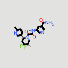 Cc1ccc([C@@H]2CC(F)(F)[C@@H](C)CN2C(=O)C(=O)Nc2cncc(C(N)=O)c2)cn1